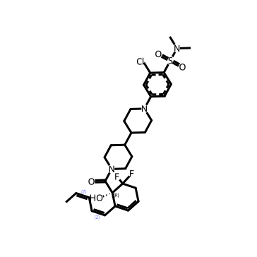 C/C=C\C=C/C1=C=CCC(F)(F)[C@]1(O)C(=O)N1CCC(C2CCN(c3ccc(S(=O)(=O)N(C)C)c(Cl)c3)CC2)CC1